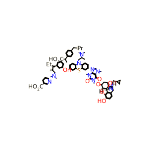 CC(C)Cc1ccc(C(C)C(=O)O)cc1.CC(CN1c2ccccc2Sc2ccccc21)N(C)C.CC[C@@H](c1cccc(O)c1)[C@@H](C)CN(C)C.Cn1c(=O)c2c(ncn2C)n(C)c1=O.O=C(O)c1cccnc1.O=C1CC[C@@]2(O)[C@H]3Cc4ccc(O)c5c4[C@@]2(CCN3CC2CC2)[C@H]1O5